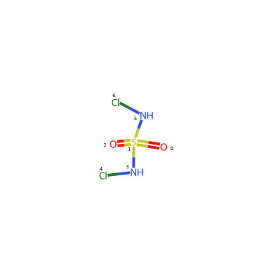 O=S(=O)(NCl)NCl